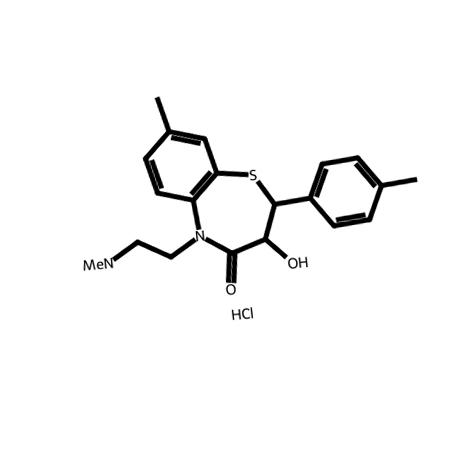 CNCCN1C(=O)C(O)C(c2ccc(C)cc2)Sc2cc(C)ccc21.Cl